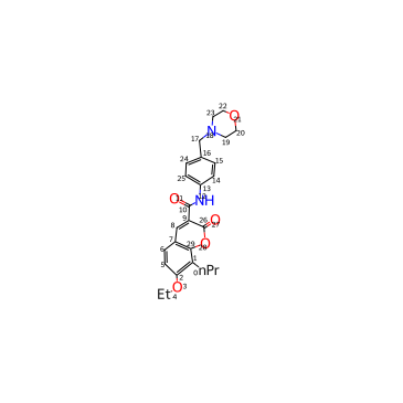 CCCc1c(OCC)ccc2cc(C(=O)Nc3ccc(CN4CCOCC4)cc3)c(=O)oc12